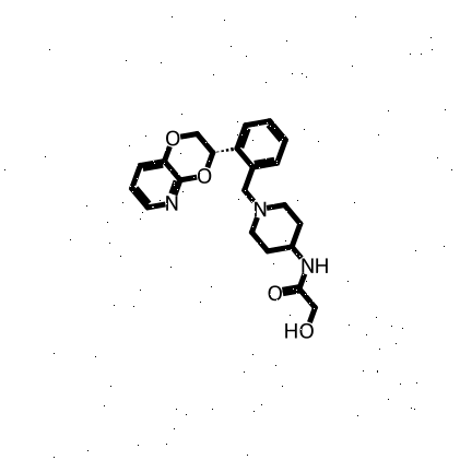 O=C(CO)NC1CCN(Cc2ccccc2[C@H]2COc3cccnc3O2)CC1